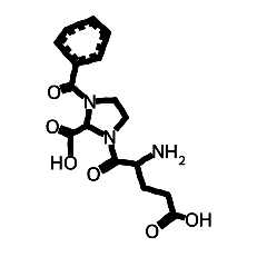 NC(CCC(=O)O)C(=O)N1CCN(C(=O)c2ccccc2)C1C(=O)O